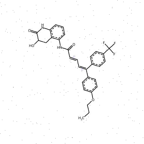 CCCOc1ccc(/C(=C/C=C/C(=O)Nc2cccc3c2CC(O)C(=O)N3)c2ccc(C(F)(F)F)cc2)cc1